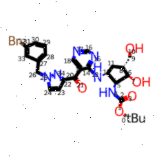 CC(C)(C)OC(=O)N[C@@H]1[C@H](O)[C@@H](CO)C[C@H]1Nc1ncncc1C(=O)c1ccn(Cc2cccc(Br)c2)n1